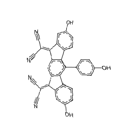 N#CC(C#N)=C1c2cc(O)ccc2-c2c1cc1c(c2-c2ccc(O)cc2)-c2ccc(O)cc2C1=C(C#N)C#N